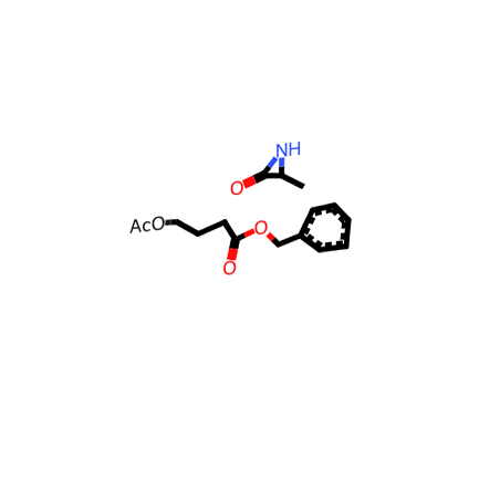 CC(=O)OCCCC(=O)OCc1ccccc1.CC1NC1=O